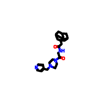 O=C(CC12CC3CC(CC(C3)C1)C2)NCC(=O)N1CCN(Cc2ccncc2)CC1